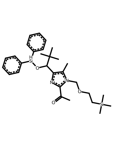 CC(=O)c1nc(C(O[SiH](c2ccccc2)c2ccccc2)C(C)(C)C)c(C)n1COCC[Si](C)(C)C